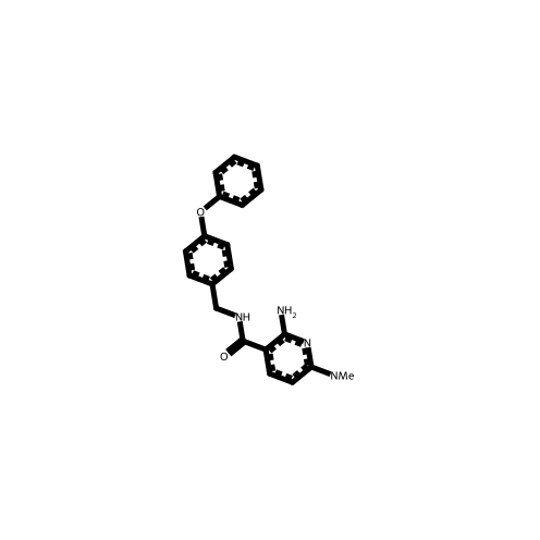 CNc1ccc(C(=O)NCc2ccc(Oc3ccccc3)cc2)c(N)n1